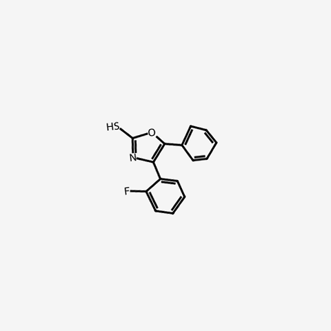 Fc1ccccc1-c1nc(S)oc1-c1ccccc1